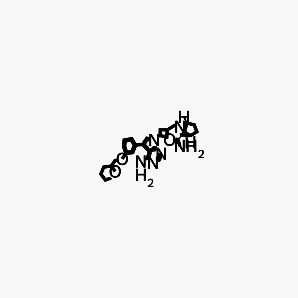 NC(=O)[C@H]1[C@H]2CC[C@H](C2)N1CC1CC(n2cc(-c3cccc(OCC4CCCCO4)c3)c3c(N)ncnc32)C1